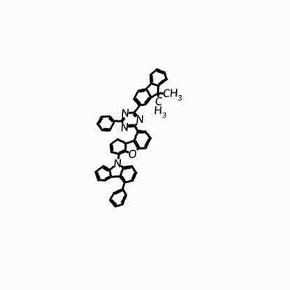 CC1(C)c2ccccc2-c2ccc(-c3nc(-c4ccccc4)nc(-c4cccc5c4C4CC=CC(n6c7ccccc7c7c(-c8ccccc8)cccc76)=C4O5)n3)cc21